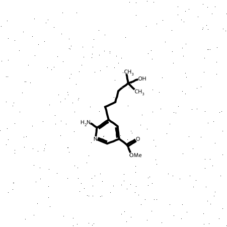 COC(=O)c1cnc(N)c(CCCC(C)(C)O)c1